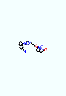 N#Cc1ccc2cccc(N3CCN(CCCCOc4ccc5ccc(=O)[nH]c5n4)CC3)c2c1